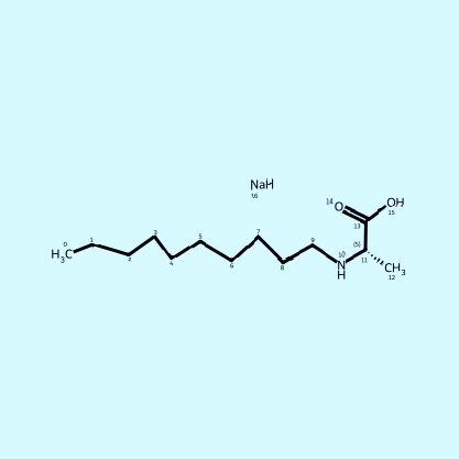 CCCCCCCCCCN[C@@H](C)C(=O)O.[NaH]